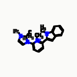 CC(C)N1C=CN(c2cccc(-c3cc4ccccc4n3C)[n+]2C)[C@@H]1C